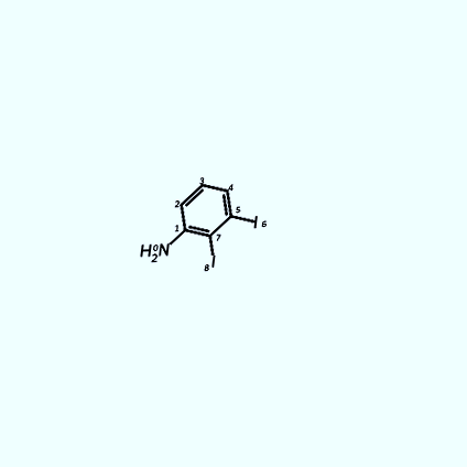 Nc1cccc(I)c1I